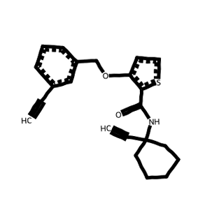 C#Cc1cccc(COc2ccsc2C(=O)NC2(C#C)CCCCC2)c1